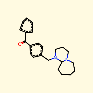 O=C(c1ccccc1)c1ccc(CN2CCCN3CCCCCC32)cc1